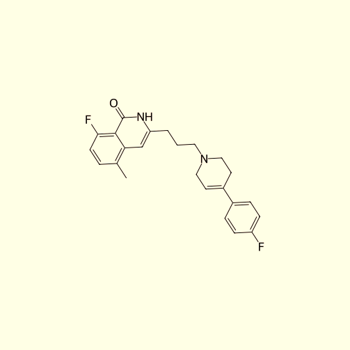 Cc1ccc(F)c2c(=O)[nH]c(CCCN3CC=C(c4ccc(F)cc4)CC3)cc12